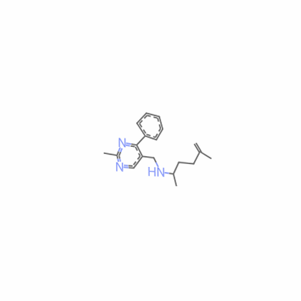 C=C(C)CCC(C)NCc1cnc(C)nc1-c1ccccc1